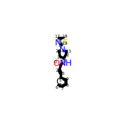 O=C(C#Cc1ccccc1)NC1CCN(c2nccs2)CC1